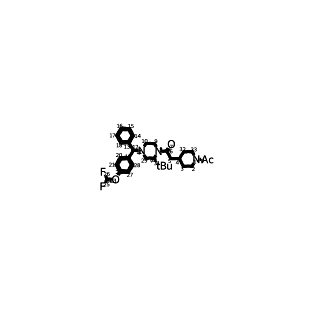 CC(=O)N1CCC(CC(=O)N2CCN(C(c3ccccc3)c3ccc(OC(F)F)cc3)C[C@@H]2C(C)(C)C)CC1